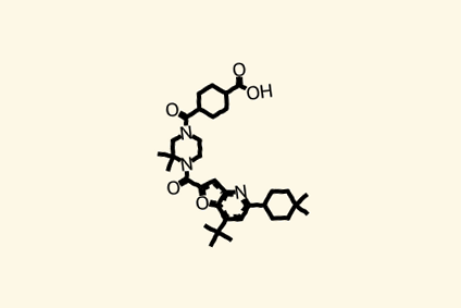 CC1(C)CCC(c2cc(C(C)(C)C)c3oc(C(=O)N4CCN(C(=O)C5CCC(C(=O)O)CC5)CC4(C)C)cc3n2)CC1